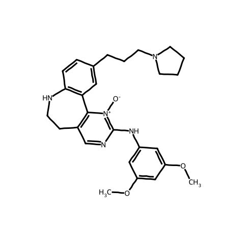 COc1cc(Nc2ncc3c([n+]2[O-])-c2cc(CCCN4CCCC4)ccc2NCC3)cc(OC)c1